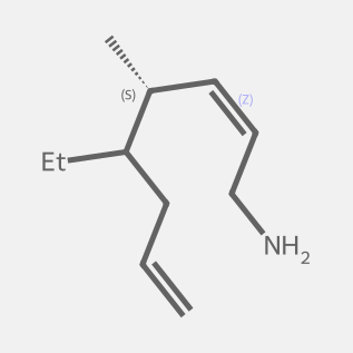 C=CCC(CC)[C@H](C)/C=C\CN